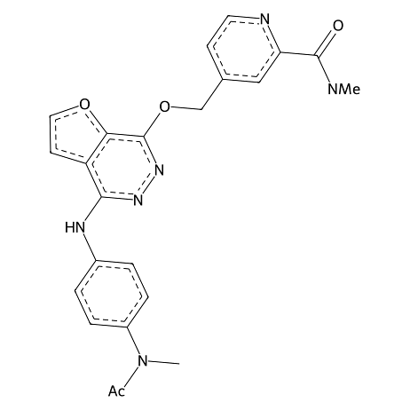 CNC(=O)c1cc(COc2nnc(Nc3ccc(N(C)C(C)=O)cc3)c3ccoc23)ccn1